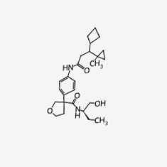 CC[C@H](CO)NC(=O)C1(c2ccc(NC(=O)CC(C3CCC3)C3(C)CC3)cc2)CCOC1